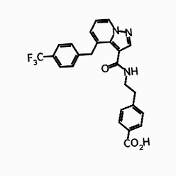 O=C(O)c1ccc(CCNC(=O)c2cnn3cccc(Cc4ccc(C(F)(F)F)cc4)c23)cc1